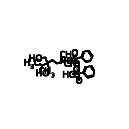 CC(C)CCC(CO)(CO)C(C)C.O=S(=O)(O)c1ccccc1.O=S(=O)(O)c1ccccc1